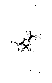 C/C(=C1/S/C(=N\O)C(C)(C)S1)[N+](=O)[O-]